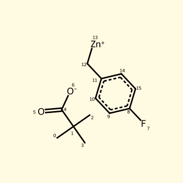 CC(C)(C)C(=O)[O-].Fc1ccc([CH2][Zn+])cc1